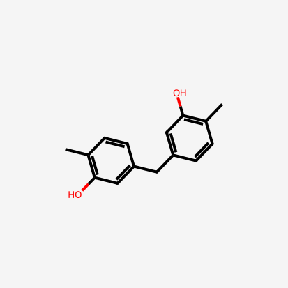 Cc1ccc(Cc2ccc(C)c(O)c2)cc1O